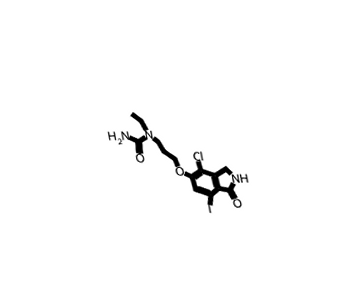 CCN(CCCOc1cc(I)c2c(c1Cl)CNC2=O)C(N)=O